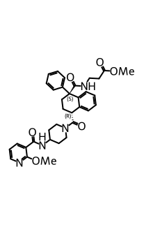 COC(=O)CCNC(=O)[C@]1(c2ccccc2)CC[C@@H](C(=O)N2CCC(NC(=O)c3cccnc3OC)CC2)c2ccccc21